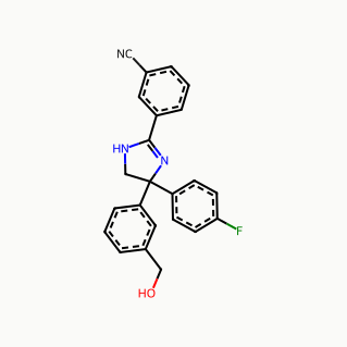 N#Cc1cccc(C2=NC(c3ccc(F)cc3)(c3cccc(CO)c3)CN2)c1